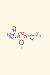 C[C@@H](OC1OCCN(Cc2nn[nH]c2CN2CCCC2)C1c1ccc(F)cc1)c1cc(F)cc(C(F)(F)F)c1